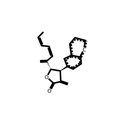 C=C(/C=C\C=C/C)[C@H]1OC(=O)C(=C)[C@@H]1c1ccc2ccccc2c1